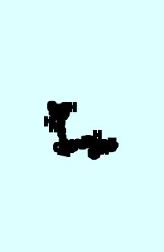 O=C(NC(c1ccccc1)c1cccc(OCc2ccc(C3(C(=O)OCCCCNC[C@@H](O)c4ccc(O)c5[nH]c(=O)ccc45)CC3)cc2)c1)O[C@H]1CN2CCC1CC2